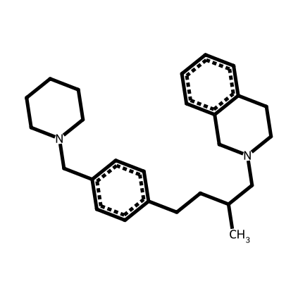 CC(CCc1ccc(CN2CCCCC2)cc1)CN1CCc2ccccc2C1